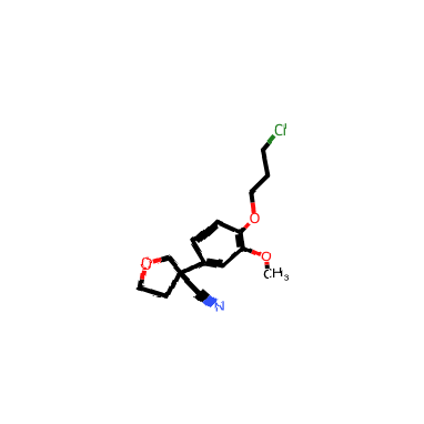 COc1cc(C2(C#N)CCOC2)ccc1OCCCCl